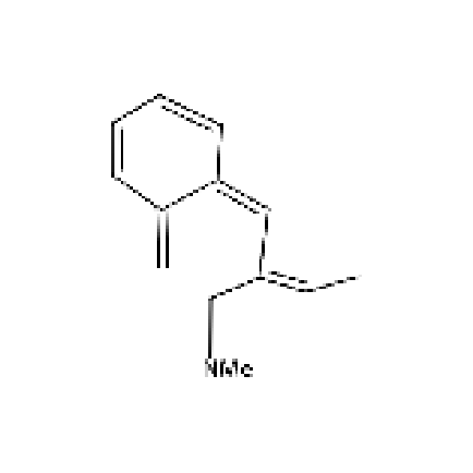 C=c1cccc/c1=C/C(=C\C)CNC